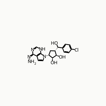 N/N=c1/nc[nH]c2c1ccn2[C@@H]1C[C@H](C(O)c2ccc(Cl)cc2)[C@@H](O)[C@H]1O